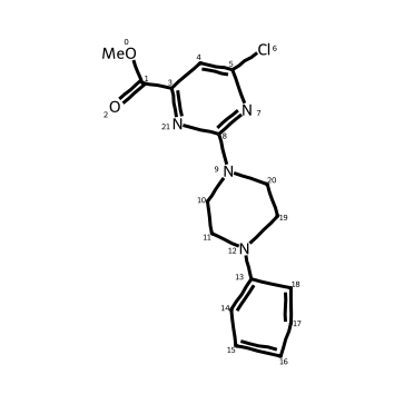 COC(=O)c1cc(Cl)nc(N2CCN(c3ccccc3)CC2)n1